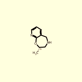 C[C@H]1CNCc2cccnc2O1